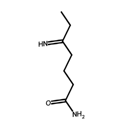 CCC(=N)CCCC(N)=O